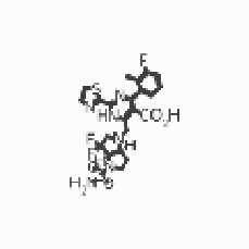 Cc1c(F)cccc1C1N=C(c2nccs2)NC(CN2CC(F)(F)[C@H]3[C@@H]2CCN3S(N)(=O)=O)=C1C(=O)O